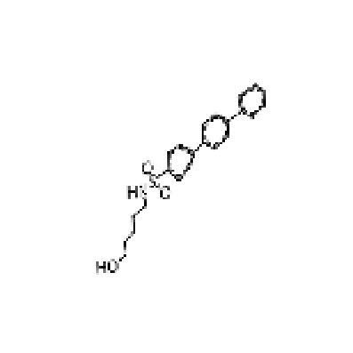 O=S(=O)(NCCCCCO)c1ccc(-c2ccc(-c3ccccc3)cc2)cc1